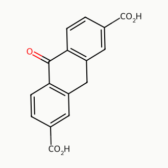 O=C(O)c1ccc2c(c1)Cc1cc(C(=O)O)ccc1C2=O